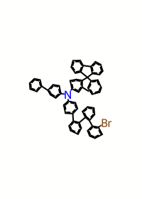 Cc1cc(N(c2ccc(-c3ccccc3)cc2)c2ccc(-c3ccccc3-c3ccccc3-c3ccccc3Br)cc2)ccc1C1(c2ccccc2)c2ccccc2-c2ccccc21